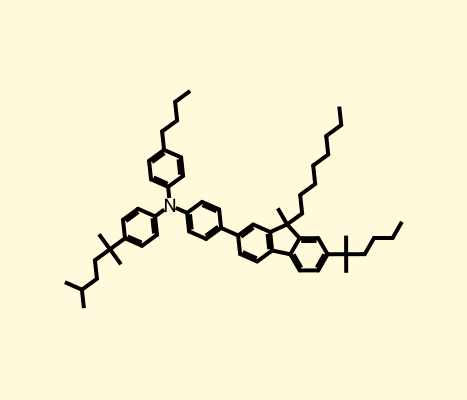 CCCCCCCCC1(C)c2cc(-c3ccc(N(c4ccc(CCCC)cc4)c4ccc(C(C)(C)CCC(C)C)cc4)cc3)ccc2-c2ccc(C(C)(C)CCCC)cc21